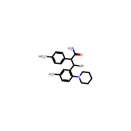 CCCC(c1cc(C)ccc1N1CCCCC1)C(C(N)=O)c1ccc(C(=O)O)cc1